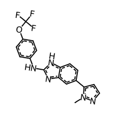 Cn1nccc1-c1ccc2[nH]c(Nc3ccc(OC(F)(F)F)cc3)nc2c1